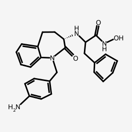 Nc1ccc(CN2C(=O)[C@@H](NC(Cc3ccccc3)C(=O)NO)CCc3ccccc32)cc1